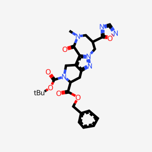 CN1CC(c2ncno2)Cn2nc3c(c2C1=O)CN(C(=O)OC(C)(C)C)C(C(=O)OCc1ccccc1)C3